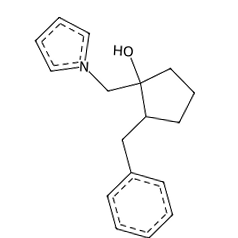 OC1(Cn2cccc2)CCCC1Cc1ccccc1